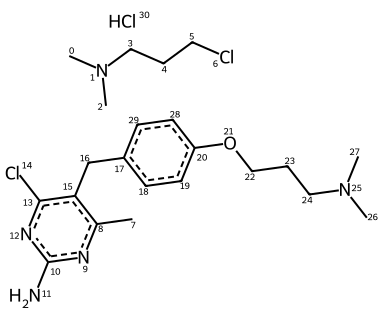 CN(C)CCCCl.Cc1nc(N)nc(Cl)c1Cc1ccc(OCCCN(C)C)cc1.Cl